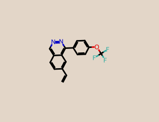 C=Cc1ccc2cnnc(-c3ccc(OC(F)(F)F)cc3)c2c1